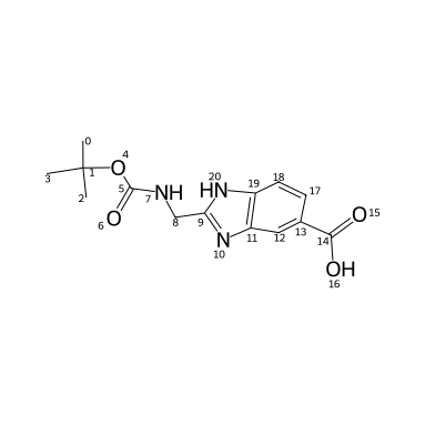 CC(C)(C)OC(=O)NCc1nc2cc(C(=O)O)ccc2[nH]1